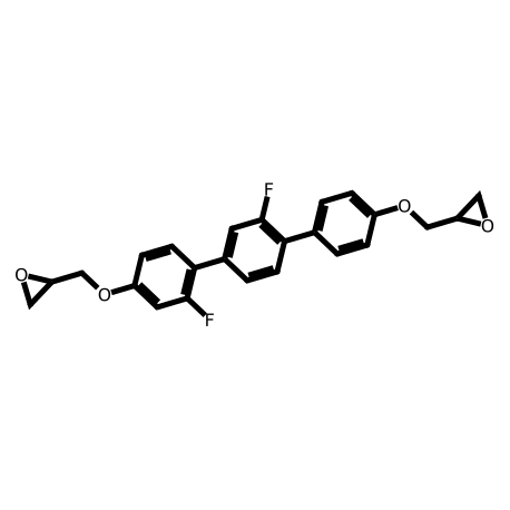 Fc1cc(OCC2CO2)ccc1-c1ccc(-c2ccc(OCC3CO3)cc2)c(F)c1